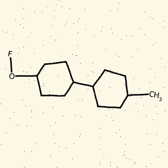 CC1CCC(C2CCC(OF)CC2)CC1